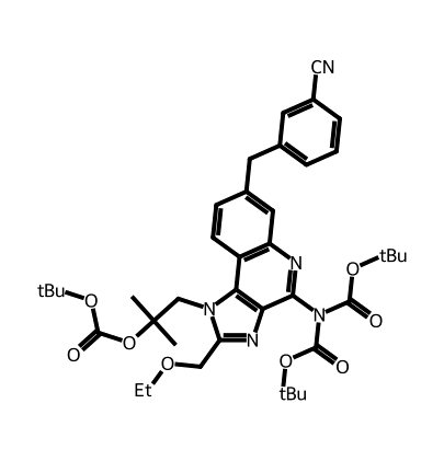 CCOCc1nc2c(N(C(=O)OC(C)(C)C)C(=O)OC(C)(C)C)nc3cc(Cc4cccc(C#N)c4)ccc3c2n1CC(C)(C)OC(=O)OC(C)(C)C